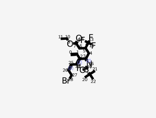 C=CC(/C(CC(CC(=O)OCC)C(F)(F)F)=N\[S+]([O-])C(C)(C)C)=C(F)\C=C/CBr